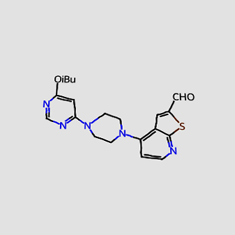 CC(C)COc1cc(N2CCN(c3ccnc4sc(C=O)cc34)CC2)ncn1